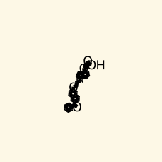 CC(C)(Oc1cccc2c1ccn2CCCOc1ccc2cc(C(=O)c3ccccc3)ccc2c1)C(=O)O